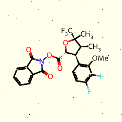 COc1c([C@H]2[C@H](C(=O)ON3C(=O)c4ccccc4C3=O)O[C@@](C)(C(F)(F)F)[C@H]2C)ccc(F)c1F